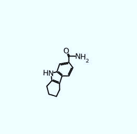 NC(=O)c1ccc2c3c([nH]c2c1)CCCC3